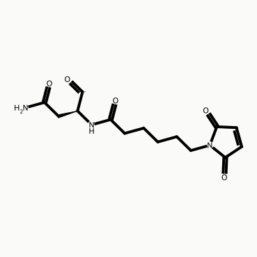 NC(=O)C[C@@H]([C]=O)NC(=O)CCCCCN1C(=O)C=CC1=O